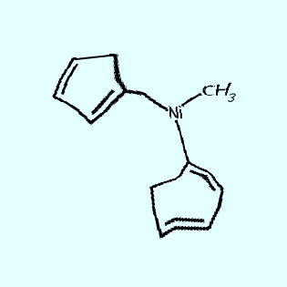 [CH3][Ni]([C]1=CC=CC1)[C]1=CC=CC1